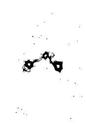 O=C(Cc1ccccc1)c1cccc(OCc2ccc3c(c2)OCO3)c1